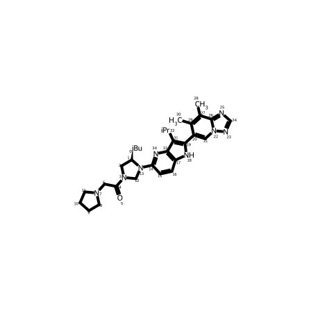 CC[C@H](C)C1CN(C(=O)CN2CCCC2)CN1c1ccc2[nH]c(-c3cn4ncnc4c(C)c3C)c(C(C)C)c2n1